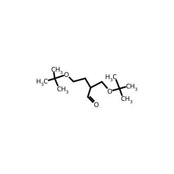 CC(C)(C)OCCC(C=O)COC(C)(C)C